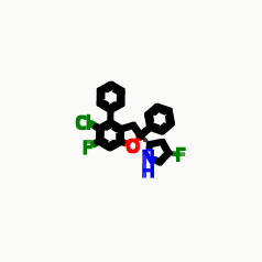 Fc1cc2c(c(-c3ccccc3)c1Cl)CC(c1ccccc1)([C@@H]1C[C@@H](F)CN1)O2